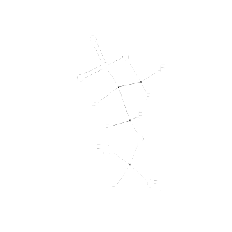 O=S1(=O)OC(F)(F)C1(F)C(F)(F)OC(F)(C(F)(F)F)C(F)(F)F